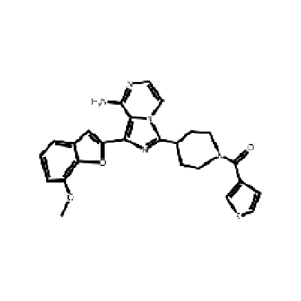 COc1cccc2cc(-c3nc(C4CCN(C(=O)c5ccsc5)CC4)n4ccnc(N)c34)oc12